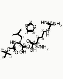 CC(C)C[C@H](NC(=O)OC(C)(C)C)C(=O)O.N=C(N)NCCC[C@H](N)C(=O)O.c1cocn1